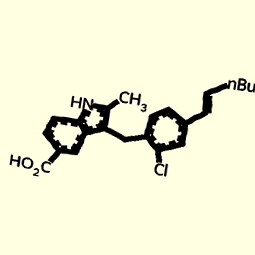 CCCC/C=C/c1ccc(Cc2c(C)[nH]c3ccc(C(=O)O)cc23)c(Cl)c1